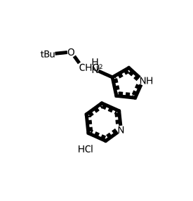 CC(C)(C)OC=O.Cl.Nc1cc[nH]c1.c1ccncc1